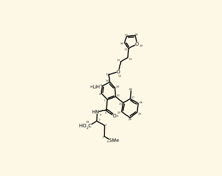 CSCCC(NC(=O)c1ccc(COCCc2ccco2)cc1-c1ccccc1C)C(=O)O.[LiH]